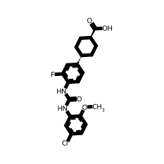 COc1ccc(Cl)cc1NC(=O)Nc1ccc([C@H]2CC[C@H](C(=O)O)CC2)cc1F